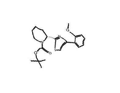 COc1ccccc1-c1csc([C@H]2CCCCN2C(=O)OC(C)(C)C)n1